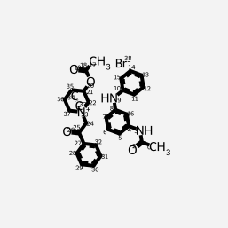 CC(=O)Nc1cccc(Nc2ccccc2)c1.CC(=O)OC1C[N+]2(CC(=O)c3ccccc3)CCC1CC2.[Br-]